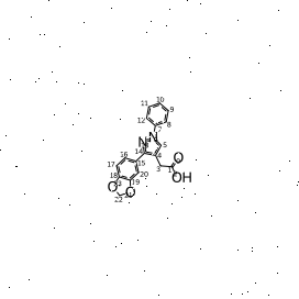 O=C(O)Cc1cn(-c2ccccc2)nc1-c1ccc2c(c1)OCO2